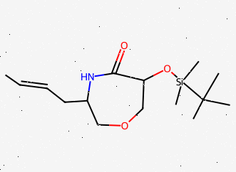 CC=CCC1COCC(O[Si](C)(C)C(C)(C)C)C(=O)N1